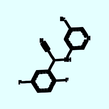 N#CC(Nc1cncc(Br)c1)c1cc(F)ccc1F